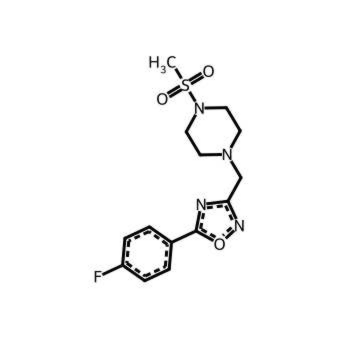 CS(=O)(=O)N1CCN(Cc2noc(-c3ccc(F)cc3)n2)CC1